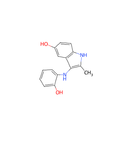 Cc1[nH]c2ccc(O)cc2c1Nc1ccccc1O